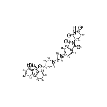 CC(C)(C)[Si](OCC1CCN(C2CN(c3ccc4c(c3)C(=O)N(C3CCC(=O)NC3=O)C4=O)C2)CC1)(c1ccccc1)c1ccccc1